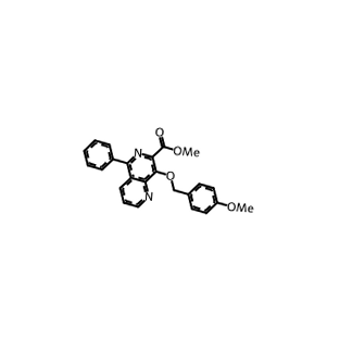 COC(=O)c1nc(-c2ccccc2)c2cccnc2c1OCc1ccc(OC)cc1